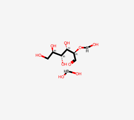 O=C[C@H](OBO)[C@@H](O)[C@H](O)[C@H](O)CO.OBO